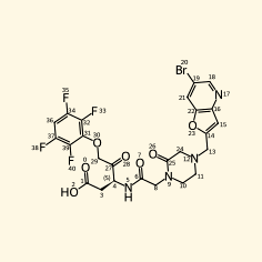 O=C(O)C[C@H](NC(=O)CN1CCN(Cc2cc3ncc(Br)cc3o2)CC1=O)C(=O)COc1c(F)c(F)cc(F)c1F